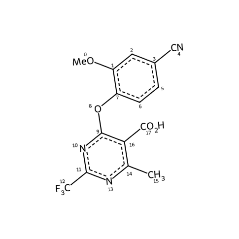 COc1cc(C#N)ccc1Oc1nc(C(F)(F)F)nc(C)c1C(=O)O